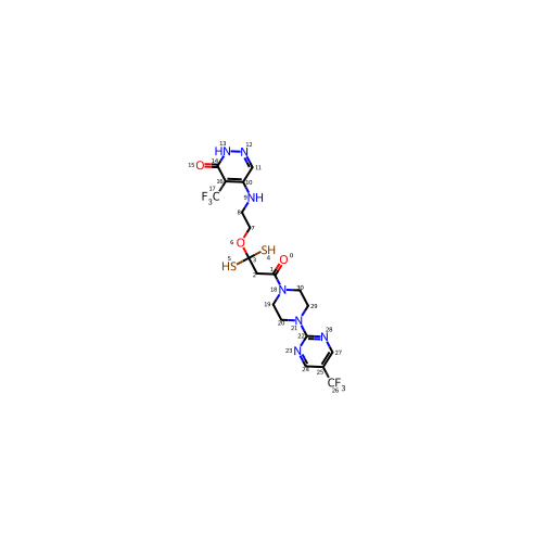 O=C(CC(S)(S)OCCNc1cn[nH]c(=O)c1C(F)(F)F)N1CCN(c2ncc(C(F)(F)F)cn2)CC1